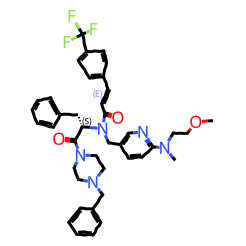 COCCN(C)c1ccc(CN(C(=O)/C=C/c2ccc(C(F)(F)F)cc2)[C@@H](Cc2ccccc2)C(=O)N2CCN(Cc3ccccc3)CC2)cn1